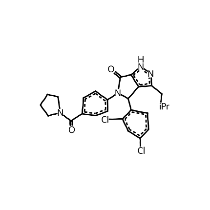 CC(C)Cc1n[nH]c2c1C(c1ccc(Cl)cc1Cl)N(c1ccc(C(=O)N3CCCC3)cc1)C2=O